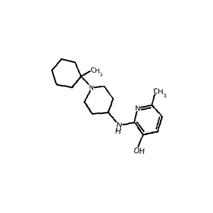 Cc1ccc(O)c(NC2CCN(C3(C)CCCCC3)CC2)n1